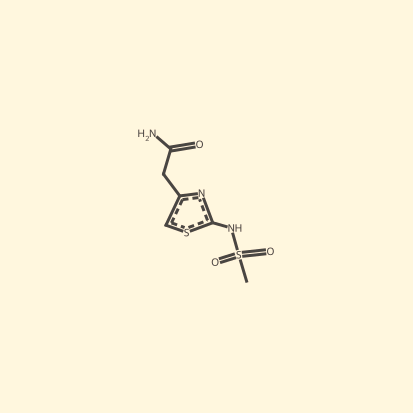 CS(=O)(=O)Nc1nc(CC(N)=O)cs1